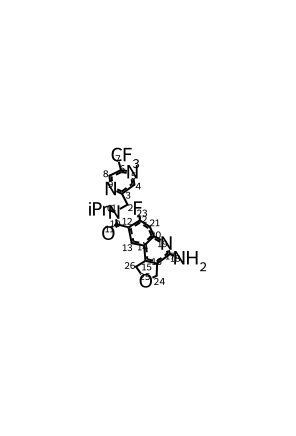 CC(C)N(Cc1cnc(C(F)(F)F)cn1)C(=O)c1cc2c3c(c(N)nc2cc1F)COC3